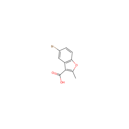 Cc1oc2ccc(Br)cc2c1C(=O)O